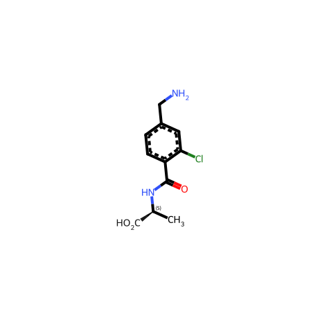 C[C@H](NC(=O)c1ccc(CN)cc1Cl)C(=O)O